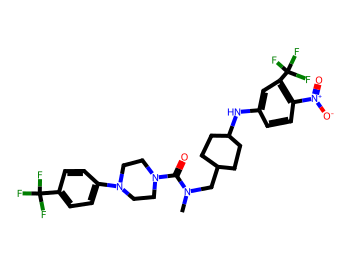 CN(CC1CCC(Nc2ccc([N+](=O)[O-])c(C(F)(F)F)c2)CC1)C(=O)N1CCN(c2ccc(C(F)(F)F)cc2)CC1